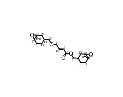 CC12CCC(COC(=O)/C=C/COCC3CCC4OC4(C)C3)CC1O2